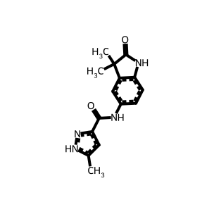 Cc1cc(C(=O)Nc2ccc3c(c2)C(C)(C)C(=O)N3)n[nH]1